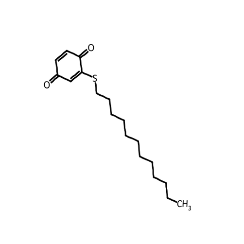 CCCCCCCCCCCCSC1=CC(=O)C=CC1=O